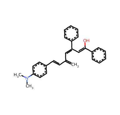 C=C(/C=C/c1ccc(N(C)C)cc1)/C=C(\C=C(/O)c1ccccc1)c1ccccc1